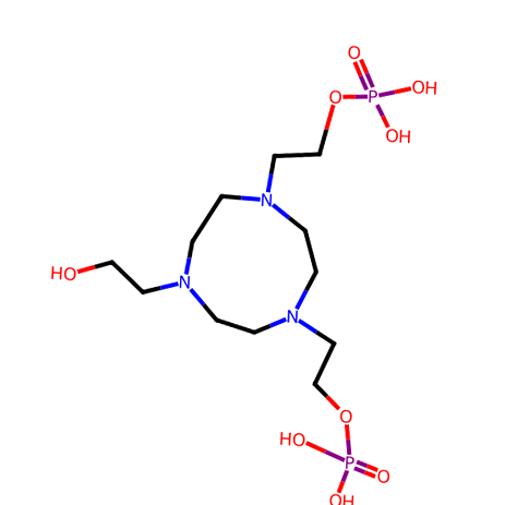 O=P(O)(O)OCCN1CCN(CCO)CCN(CCOP(=O)(O)O)CC1